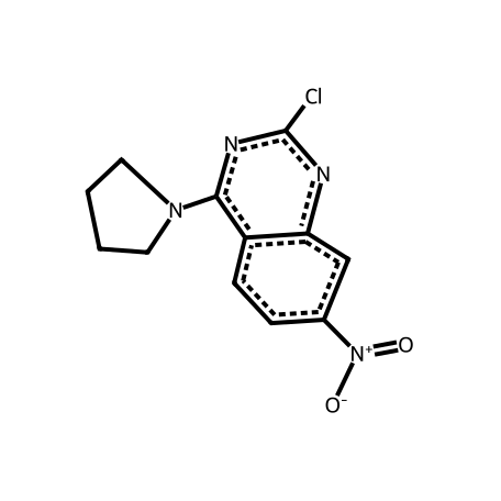 O=[N+]([O-])c1ccc2c(N3CCCC3)nc(Cl)nc2c1